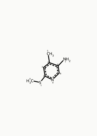 CSc1cc(C)c(N)cn1